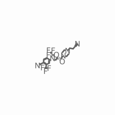 N#CCCN1CCN(C(=O)[C@@H]2CN(c3ccc(C#N)c(C(F)(F)F)c3)[C@@H](C(F)(F)F)O2)CC1